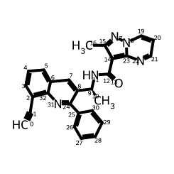 C#Cc1cccc2cc([C@H](C)NC(=O)c3c(C)nn4cccnc34)c(-c3ccccc3)nc12